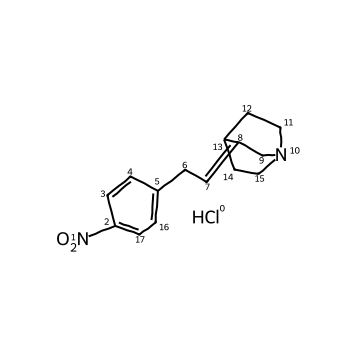 Cl.O=[N+]([O-])c1ccc(CC=C2CN3CCC2CC3)cc1